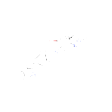 COC(=O)C(Cc1ccn(C)n1)NCc1ccc(-c2ccccn2)cc1